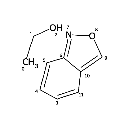 CCO.c1ccc2nocc2c1